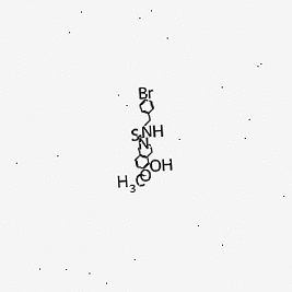 COc1ccc2c(c1O)CCN(C(=S)NCCc1ccc(Br)cc1)C2